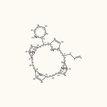 C=CCc1c2nc(c(-c3ccccn3)c3ccc(cc4nc(cc5ccc1[nH]5)C=C4)[nH]3)C=C2